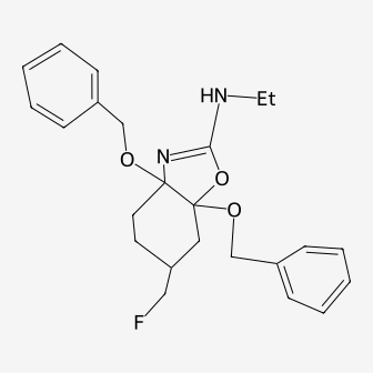 CCNC1=NC2(OCc3ccccc3)CCC(CF)CC2(OCc2ccccc2)O1